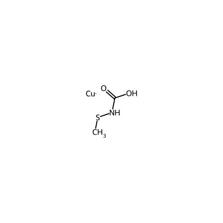 CSNC(=O)O.[Cu]